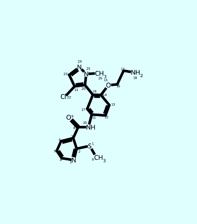 CSc1ncccc1C(=O)Nc1ccc(OCCN)c(-c2c(Cl)cnn2C)c1